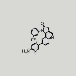 Nc1ccc(-c2ccc3ncc4c(c3c2)N(c2cccc(C(F)(F)F)c2)C(=O)C4)cn1